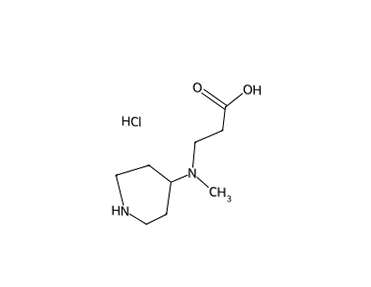 CN(CCC(=O)O)C1CCNCC1.Cl